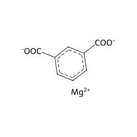 O=C([O-])c1cccc(C(=O)[O-])c1.[Mg+2]